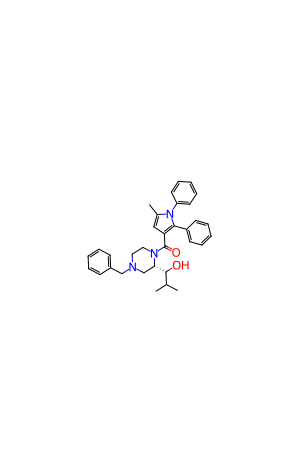 Cc1cc(C(=O)N2CCN(Cc3ccccc3)C[C@H]2C(O)C(C)C)c(-c2ccccc2)n1-c1ccccc1